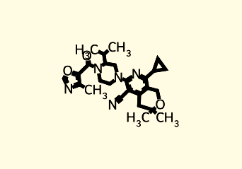 Cc1ncoc1C(=O)N1CCN(c2nc(C3CC3)c3c(c2C#N)CC(C)(C)OC3)CC1C(C)C